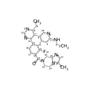 CCNc1ccc(-c2c(CC)ncnc2-c2ccc(C(=O)N3CCn4c(C)cnc4C3)c(F)c2)cn1